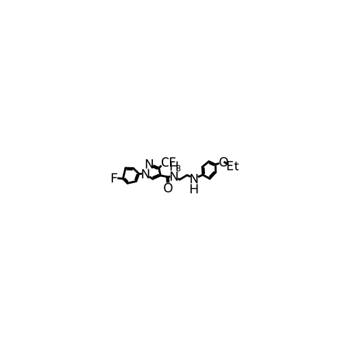 CCOc1ccc(NCCNC(=O)c2cn(-c3ccc(F)cc3)nc2C(F)(F)F)cc1